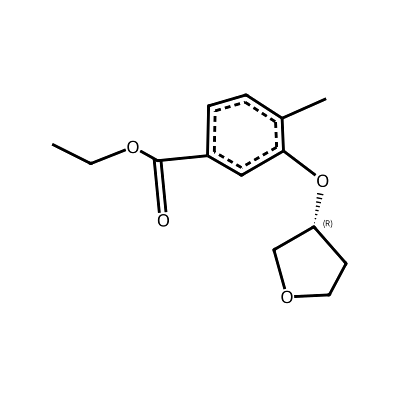 CCOC(=O)c1ccc(C)c(O[C@@H]2CCOC2)c1